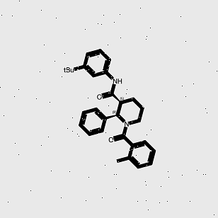 Cc1ccccc1C(=O)N1CCC[C@H](C(=O)Nc2cccc(C(C)(C)C)c2)[C@@H]1c1ccccc1